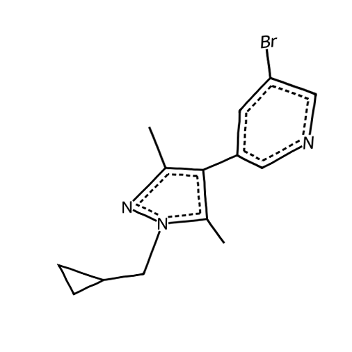 Cc1nn(CC2CC2)c(C)c1-c1cncc(Br)c1